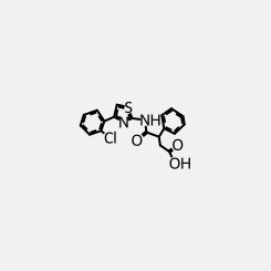 O=C(O)CC(C(=O)Nc1nc(-c2ccccc2Cl)cs1)c1ccccc1